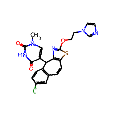 Cn1cc(C2c3ccc(Cl)cc3C=Cc3sc(OCCn4ccnc4)nc32)c(=O)[nH]c1=O